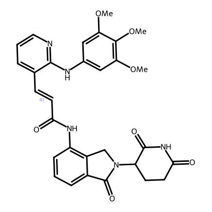 COc1cc(Nc2ncccc2/C=C/C(=O)Nc2cccc3c2CN(C2CCC(=O)NC2=O)C3=O)cc(OC)c1OC